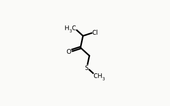 CSCC(=O)C(C)Cl